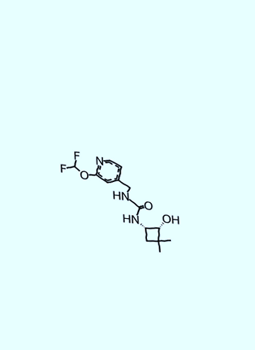 CC1(C)C[C@H](NC(=O)NCc2ccnc(OC(F)F)c2)[C@@H]1O